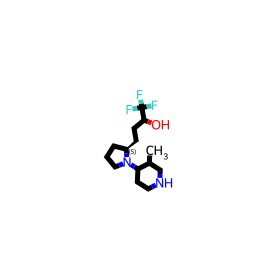 CC1CNCCC1N1CCC[C@H]1CCC(O)C(F)(F)F